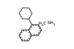 C.N.c1ccc2c(C3CCCCC3)cccc2c1